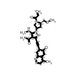 C=CC(=O)N1CC(n2nc(C#Cc3cc4nncc(C)c4cc3Cl)c(C(N)=O)c2NC)C[C@@H]1COC